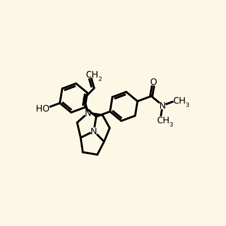 C=CCN1CCC2CCC(C1)N2C(C1=CCC(C(=O)N(C)C)C=C1)c1cccc(O)c1